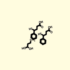 CCCC(O)O.O=C(O)CCC(S)c1ccccc1.O=C(O)CCC(S)c1ccccc1